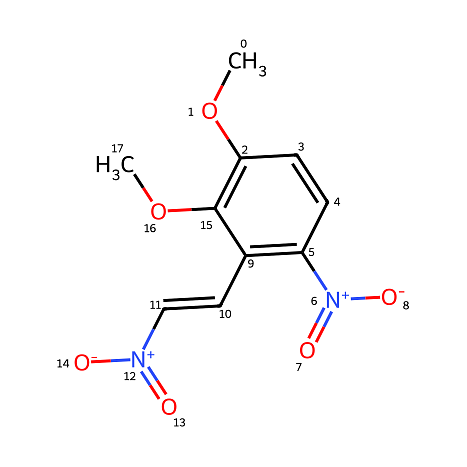 COc1ccc([N+](=O)[O-])c(C=C[N+](=O)[O-])c1OC